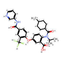 CC1CCC(C(=O)N(c2ccc(Oc3ccc(C(=O)Nc4cccnc4)cc3C(F)(F)F)cc2C(=O)O)C(C)C)CC1